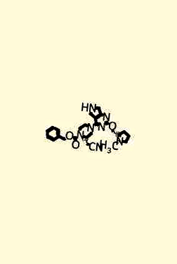 CN1CCC[C@H]1COc1nc2c(c(N3CCN(C(=O)OCc4ccccc4)[C@@H](CC#N)C3)n1)CNC2